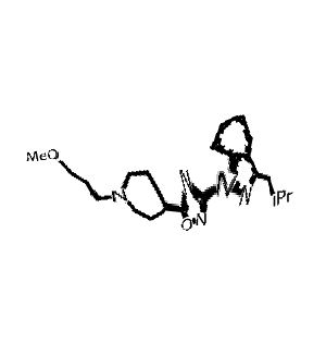 COCCCN1CCC(c2nc(-n3nc(CC(C)C)c4ccccc43)no2)CC1